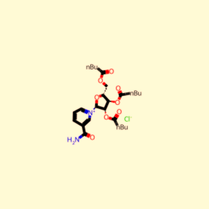 CCCCC(=O)OC[C@H]1O[C@@H]([n+]2cccc(C(N)=O)c2)[C@@H](OC(=O)CCCC)[C@@H]1OC(=O)CCCC.[Cl-]